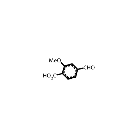 COc1cc(C=O)ccc1C(=O)O